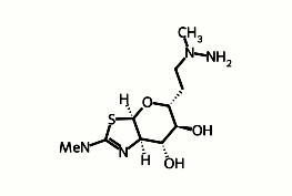 CNC1=N[C@@H]2[C@@H](O)[C@H](O)[C@@H](CCN(C)N)O[C@@H]2S1